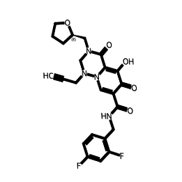 C#CCN1CN(C[C@H]2CCCO2)C(=O)c2c(O)c(=O)c(C(=O)NCc3ccc(F)cc3F)cn21